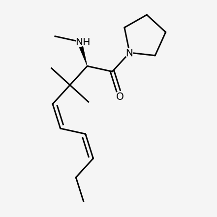 CC/C=C\C=C/C(C)(C)[C@@H](NC)C(=O)N1CCCC1